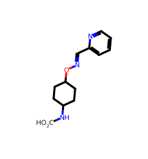 O=C(O)NC1CCC(ON=Cc2ccccn2)CC1